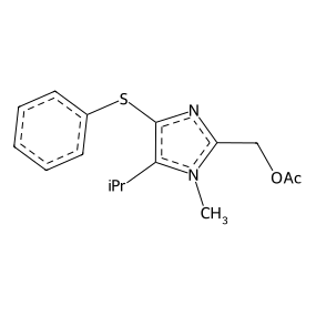 CC(=O)OCc1nc(Sc2ccccc2)c(C(C)C)n1C